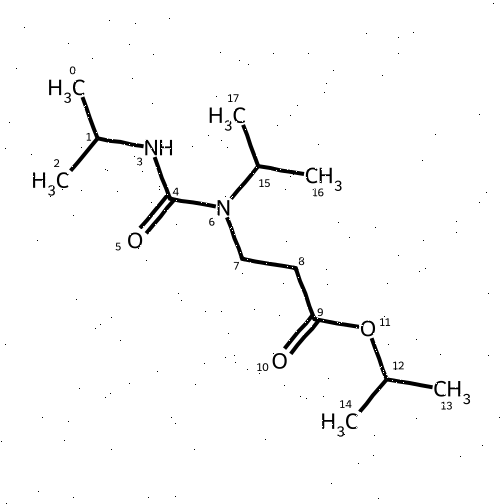 CC(C)NC(=O)N(CCC(=O)OC(C)C)C(C)C